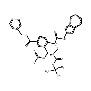 CC(C)(C)OC(=O)NC[C@@H](C(=O)Nc1cc2ccncc2s1)c1ccc(C(=O)OCc2ccccc2)cc1CO[N+](=O)[O-]